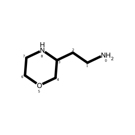 NCCC1COCCN1